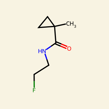 CC1(C(=O)NCCF)CC1